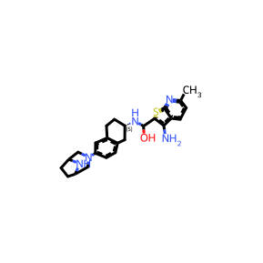 Cc1ccc2c(N)c(C(O)N[C@H]3CCc4cc(N5CC6CCC(C5)N6)ccc4C3)sc2n1